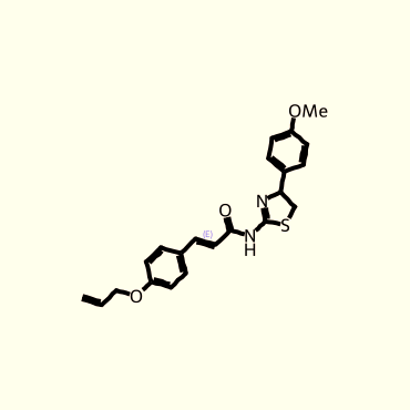 C=CCOc1ccc(/C=C/C(=O)NC2=NC(c3ccc(OC)cc3)CS2)cc1